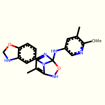 COc1ncc(NC23N=CC(C)=C(NO2)N3c2ccc3c(c2)NCO3)cc1C